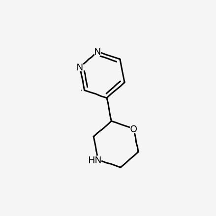 [c]1nnccc1C1CNCCO1